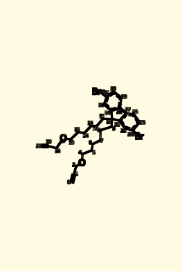 C#CCOCCCCCCC1(CCCCCCOCC#C)c2cc(Br)ccc2-c2ccc(Br)cc21